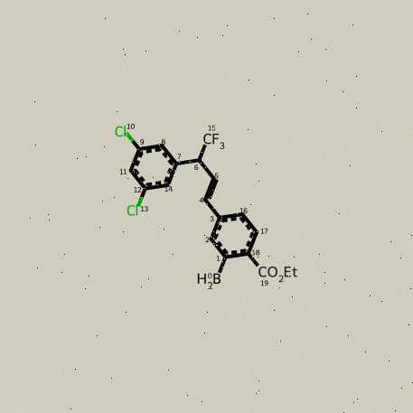 Bc1cc(/C=C/C(c2cc(Cl)cc(Cl)c2)C(F)(F)F)ccc1C(=O)OCC